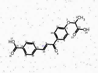 CC(Oc1ccc(C(=O)/C=C/c2ccc(C(=O)O)cc2)cc1)C(=O)O